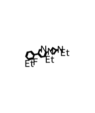 CCN=C1CN(c2ncc(-c3cccc(CC)c3F)cc2CC)C1